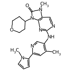 Cc1cc(-c2cccn2C)ncc1Nc1ncc2c(n1)n(C1CCOCC1)c(=O)n2C